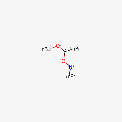 CCCCOC(CCC)O[N]CCC